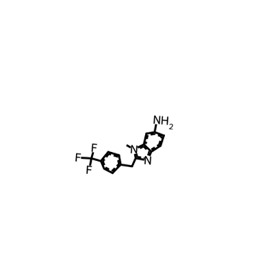 Cn1c(Cc2ccc(C(F)(F)F)cc2)nc2ccc(N)cc21